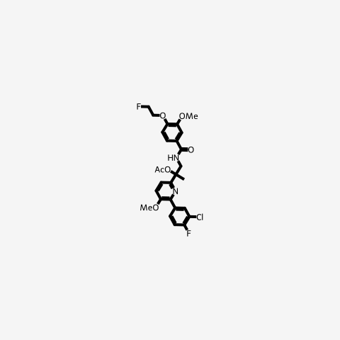 COc1cc(C(=O)NCC(C)(OC(C)=O)c2ccc(OC)c(-c3ccc(F)c(Cl)c3)n2)ccc1OCCF